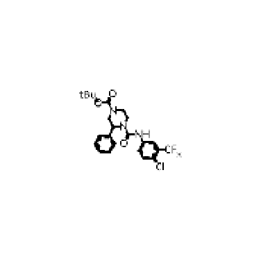 CC(C)(C)OC(=O)N1CCN(C(=O)Nc2ccc(Cl)c(C(F)(F)F)c2)C(c2ccccc2)C1